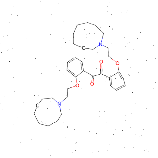 O=C(C(=O)c1ccccc1OCCN1CCCCCCCC1)c1ccccc1OCCN1CCCCCCCC1